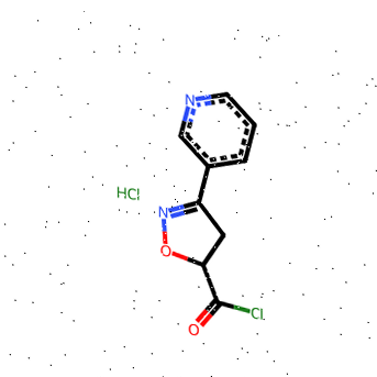 Cl.O=C(Cl)C1CC(c2cccnc2)=NO1